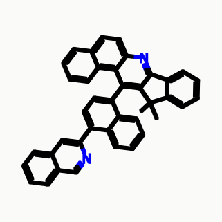 CC1(C)c2ccccc2-c2nc3ccc4ccccc4c3c(-c3ccc(-c4cc5ccccc5cn4)c4ccccc34)c21